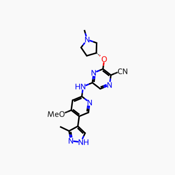 COc1cc(Nc2cnc(C#N)c(O[C@@H]3CCN(C)C3)n2)ncc1-c1c[nH]nc1C